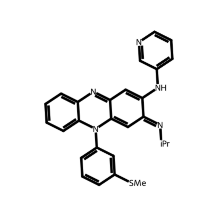 CSc1cccc(-n2c3c/c(=N\C(C)C)c(Nc4cccnc4)cc-3nc3ccccc32)c1